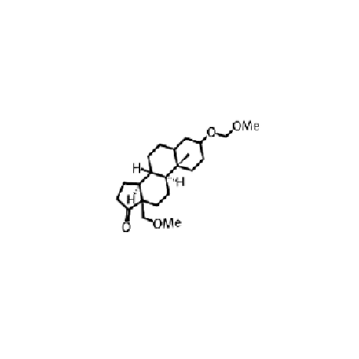 COCOC1CC[C@@]2(C)C(CC[C@H]3[C@@H]4CCC(=O)[C@@]4(COC)CC[C@@H]32)C1